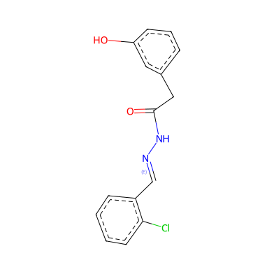 O=C(Cc1cccc(O)c1)N/N=C/c1ccccc1Cl